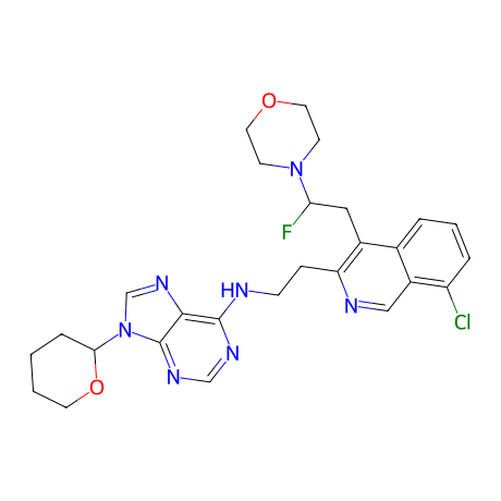 FC(Cc1c(CCNc2ncnc3c2ncn3C2CCCCO2)ncc2c(Cl)cccc12)N1CCOCC1